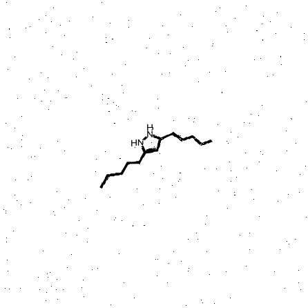 CCCCCC1=CC(CCCCC)NN1